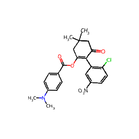 CN(C)c1ccc(C(=O)OC2=C(c3cc([N+](=O)[O-])ccc3Cl)C(=O)CC(C)(C)C2)cc1